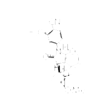 CO/N=C1\C[C@@]23CCO[C@H]4[C@@H]2[C@H](C(=O)N4c2ccc(C#N)c(C(F)(F)F)c2)[C@]1(C)O3